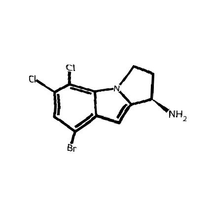 N[C@@H]1CCn2c1cc1c(Br)cc(Cl)c(Cl)c12